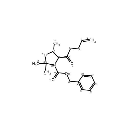 C=CCCC(=O)[C@@H]1[C@@H](C)OC(C)(C)N1C(=O)OCc1ccccc1